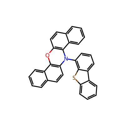 c1ccc2c3c(ccc2c1)N(c1cccc2c1sc1ccccc12)c1c(ccc2ccccc12)O3